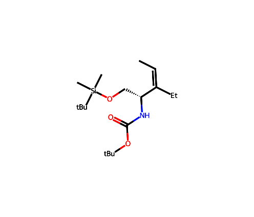 CC=C(CC)[C@@H](CO[Si](C)(C)C(C)(C)C)NC(=O)OC(C)(C)C